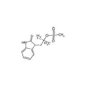 CC(C)(CC1C(=O)Nc2ccccc21)OS(C)(=O)=O